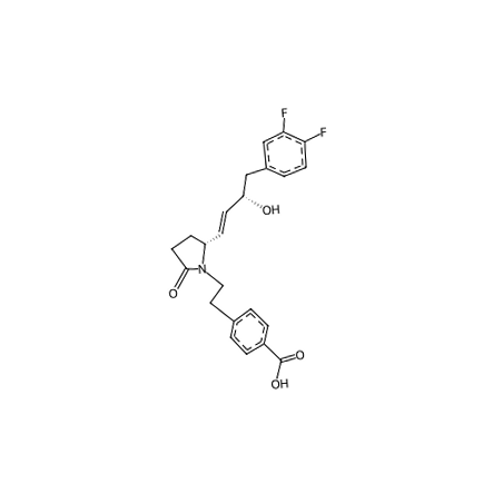 O=C(O)c1ccc(CCN2C(=O)CC[C@@H]2/C=C/[C@@H](O)Cc2ccc(F)c(F)c2)cc1